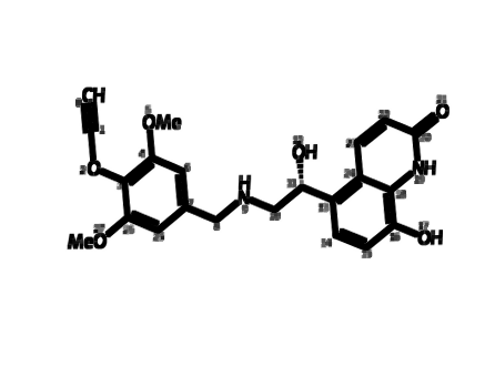 C#COc1c(OC)cc(CNC[C@H](O)c2ccc(O)c3[nH]c(=O)ccc23)cc1OC